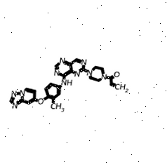 C=CC(=O)N1CCN(c2ncc3ncnc(Nc4ccc(Oc5ccn6ncnc6c5)c(C)c4)c3n2)CC1